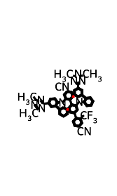 Cc1nc(C)nc(-c2ccc3c(c2)c2ccccc2n3-c2cc(C#N)ccc2-c2ccc(-c3ccc(C#N)cc3C(F)(F)F)cc2-n2c3ccccc3c3cc(-c4nc(C)nc(C)n4)ccc32)n1